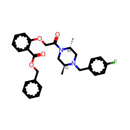 C[C@@H]1CN(Cc2ccc(F)cc2)[C@@H](C)CN1C(=O)COc1ccccc1C(=O)OCc1ccccc1